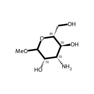 COC1O[C@H](CO)[C@@H](O)[C@H](N)[C@@H]1O